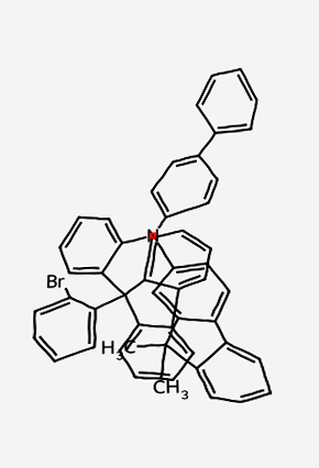 CC1(C)c2ccccc2-c2ccc(N(c3ccc(-c4ccccc4)cc3)c3ccccc3C3(c4ccccc4Br)c4ccccc4-c4ccccc43)cc21